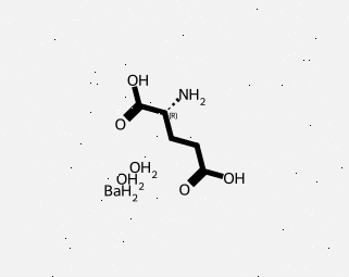 N[C@H](CCC(=O)O)C(=O)O.O.O.[BaH2]